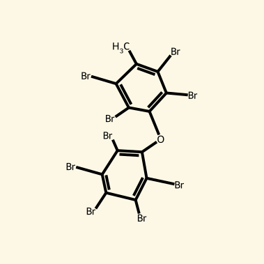 Cc1c(Br)c(Br)c(Oc2c(Br)c(Br)c(Br)c(Br)c2Br)c(Br)c1Br